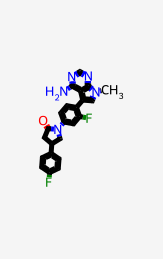 Cn1cc(-c2ccc(N3CC(c4ccc(F)cc4)CC3=O)cc2F)c2c(N)ncnc21